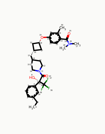 CCc1cccc([C@@](O)(C(=O)N2CCC(C[C@H]3C[C@@H](Oc4ccc(C(=O)N(C)C)c(C)c4)C3)CC2)C(F)(F)F)c1